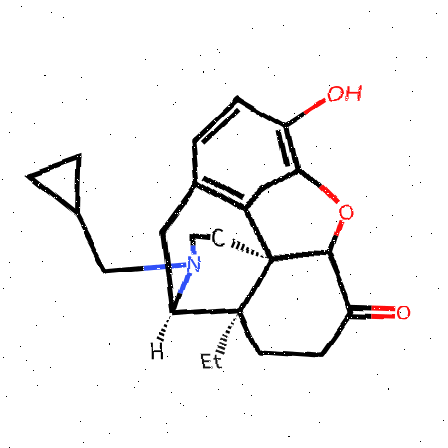 CC[C@@]12CCC(=O)C3Oc4c(O)ccc5c4[C@@]31CCN(CC1CC1)[C@@H]2C5